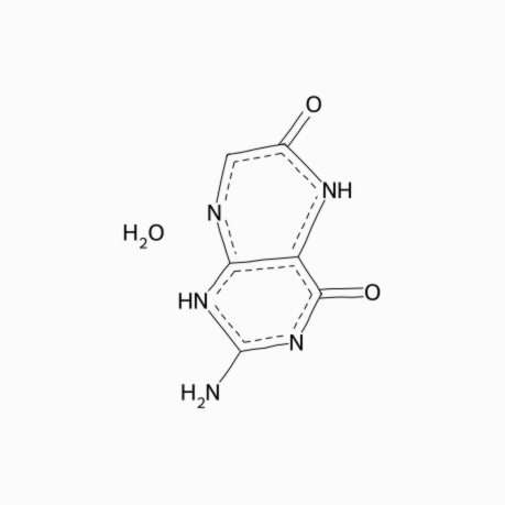 Nc1nc(=O)c2[nH]c(=O)cnc2[nH]1.O